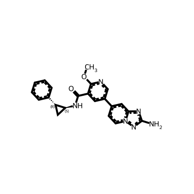 COc1ncc(-c2ccn3nc(N)nc3c2)cc1C(=O)N[C@H]1C[C@@H]1c1ccccc1